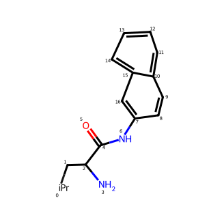 CC(C)CC(N)C(=O)Nc1ccc2ccccc2c1